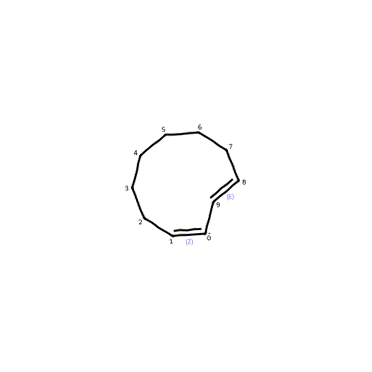 [C]1=C\CCCCCC/C=C/1